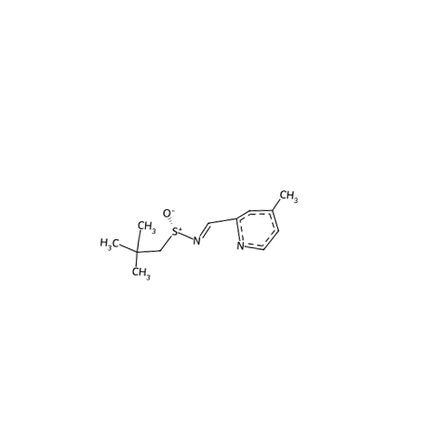 Cc1ccnc(/C=N/[S@@+]([O-])CC(C)(C)C)c1